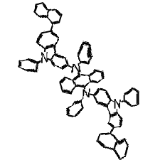 c1ccc(N(c2ccc3c(c2)c2cc(-c4cccc5ccccc45)ccc2n3-c2ccccc2)c2c3ccccc3c(N(c3ccccc3)c3ccc4c(c3)c3cc(-c5cccc6ccccc56)ccc3n4-c3ccccc3)c3ccccc23)cc1